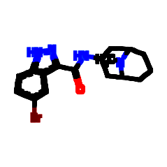 CN1C2CCCC1CC(NC(=O)c1n[nH]c3ccc(Br)cc13)C2